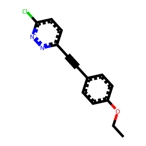 CCOc1ccc(C#Cc2ccc(Cl)nn2)cc1